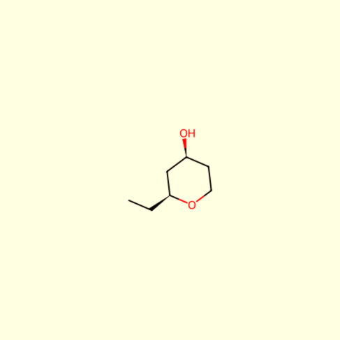 CC[C@H]1C[C@@H](O)CCO1